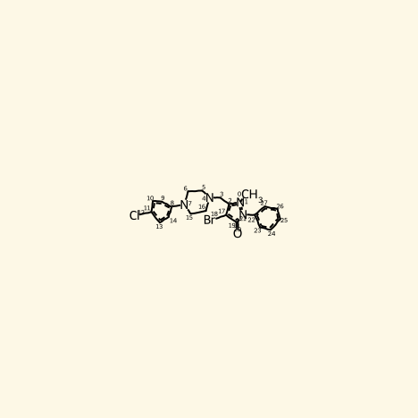 Cn1c(CN2CCN(c3ccc(Cl)cc3)CC2)c(Br)c(=O)n1-c1ccccc1